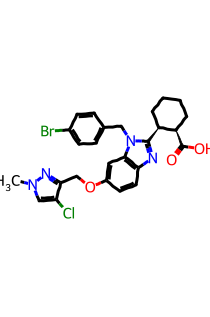 Cn1cc(Cl)c(COc2ccc3nc([C@H]4CCCC[C@H]4C(=O)O)n(Cc4ccc(Br)cc4)c3c2)n1